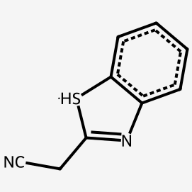 N#CCC1=Nc2ccccc2[SH]1